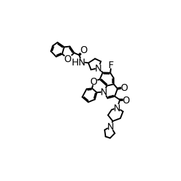 O=C(NC1CCN(c2c(F)cc3c(=O)c(C(=O)N4CCC(N5CCCC5)CC4)cn4c3c2Oc2ccccc2-4)C1)c1cc2ccccc2o1